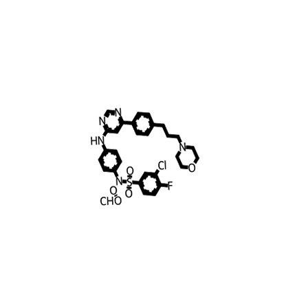 O=CON(c1ccc(Nc2cc(-c3ccc(CCCN4CCOCC4)cc3)ncn2)cc1)S(=O)(=O)c1ccc(F)c(Cl)c1